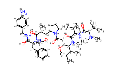 CC[C@H](C)[C@@H]([C@@H](CC(=O)N1CCC[C@H]1[C@H](OC)[C@@H](C)C(=O)N[C@H](Cc1ccccc1)C(=O)NCc1ccc(N)cc1)OC)N(C)C(=O)C(NC(=O)[C@H](C(C)C)N(C)C)C(C)C